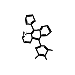 Cc1cc(-c2c3ccccc3c(-c3ccccc3)c3ncccc23)cc(C)c1C